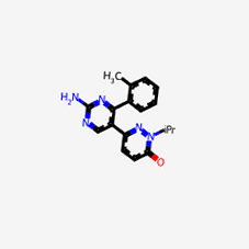 Cc1ccccc1-c1nc(N)ncc1-c1ccc(=O)n(C(C)C)n1